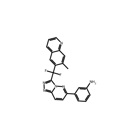 Cc1cc2ncccc2cc1C(F)(F)c1nnc2ccc(-c3cccc(N)c3)nn12